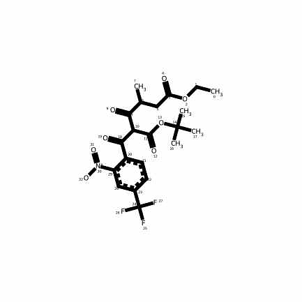 CCOC(=O)CC(C)C(=O)C(C(=O)OC(C)(C)C)C(=O)c1ccc(C(F)(F)F)cc1[N+](=O)[O-]